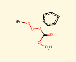 CC(C)OOOC(=O)OC(=O)O.c1ccccc1